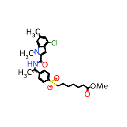 COC(=O)CCCCCCS(=O)(=O)c1ccc([C@@H](C)NC(=O)c2cc3c(Cl)cc(C)cc3n2C)cc1